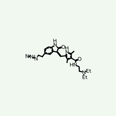 CCN(CC)CCNC(=O)c1c(C)[nH]c(/C=C2\C(=O)Nc3ccc(CCN=[N+]=[N-])cc32)c1C